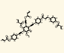 C=CC(=O)OC#Cc1c(C#Cc2ccc(C(=O)/C=C/c3ccc(OC(=O)C=C)cc3)cc2)c(F)c(OC)c(C#Cc2ccc(OC(=O)C=C)cc2)c1OC(=O)C=C